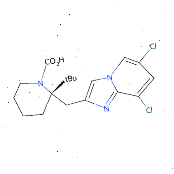 CC(C)(C)[C@@]1(Cc2cn3cc(Cl)cc(Cl)c3n2)CCCCN1C(=O)O